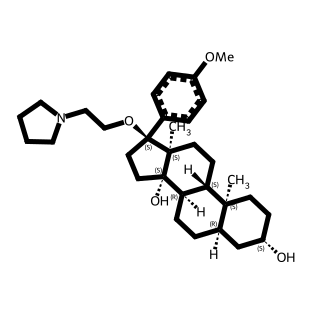 COc1ccc([C@@]2(OCCN3CCCC3)CC[C@]3(O)[C@@H]4CC[C@@H]5C[C@@H](O)CC[C@]5(C)[C@H]4CC[C@]23C)cc1